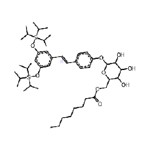 CCCCCCCC(=O)OCC1OC(Oc2ccc(/C=C/c3cc(O[Si](C(C)C)(C(C)C)C(C)C)cc(O[Si](C(C)C)(C(C)C)C(C)C)c3)cc2)C(O)C(O)C1O